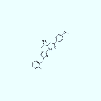 COc1ccc(C(=O)CC(Nc2nc(Cc3ccccc3C)ns2)C(C)N)cc1